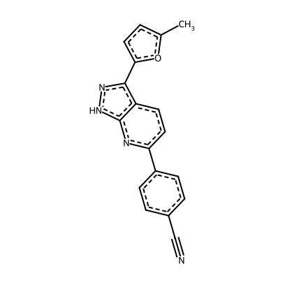 Cc1ccc(-c2n[nH]c3nc(-c4ccc(C#N)cc4)ccc23)o1